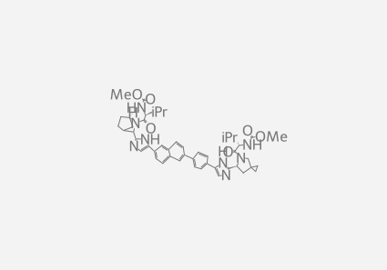 COC(=O)N[C@H](C(=O)N1CC2(CC2)C[C@H]1c1ncc(-c2ccc(-c3ccc4cc(-c5cnc(C6C7CC[C@H](C7)N6C(=O)[C@@H](NC(=O)OC)C(C)C)[nH]5)ccc4c3)cc2)[nH]1)C(C)C